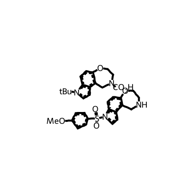 CC(C)(C)n1ccc2c3c(ccc21)OCCN(C(=O)O)C3.COc1ccc(S(=O)(=O)n2ccc3c4c(ccc32)OCCNC4)cc1